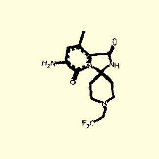 Cc1cc(N)c(=O)n2c1C(=O)NC21CCN(CC(F)(F)F)CC1